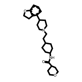 O=C(NC1CCC(CCN2CCC(c3cccc4c3CCO4)CC2)CC1)C1CCOCC1